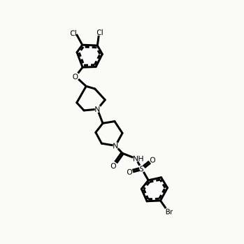 O=C(NS(=O)(=O)c1ccc(Br)cc1)N1CCC(N2CCC(Oc3ccc(Cl)c(Cl)c3)CC2)CC1